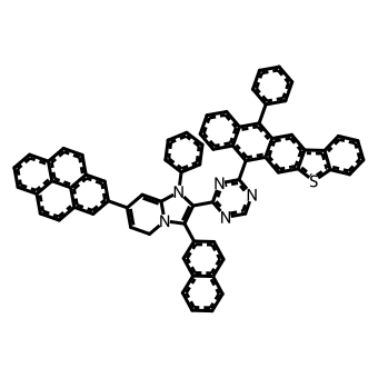 C1=C(c2cc3ccc4cccc5ccc(c2)c3c45)C=C2N(C1)C(c1ccc3ccccc3c1)=C(c1ncnc(-c3c4ccccc4c(-c4ccccc4)c4cc5c(cc34)sc3ccccc35)n1)N2c1ccccc1